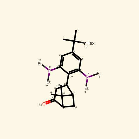 CCCCCCC(C)(C)c1cc(P(CC)CC)c(C2CC(=O)C3CC2C3(C)C)c(P(CC)CC)c1